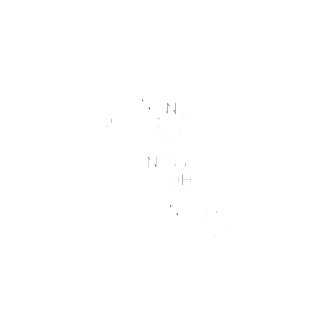 CN(CC(O)CN1CCc2ccccc2C1)C(=O)c1ccnc(N(C)C2CCOCC2)c1